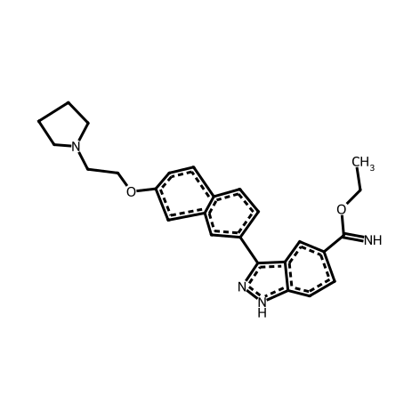 CCOC(=N)c1ccc2[nH]nc(-c3ccc4ccc(OCCN5CCCC5)cc4c3)c2c1